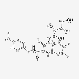 COc1ccc(CNC(=O)c2nc3cc(C)c(C)cc3n(CC(O)C(O)C(O)CO)c2=O)cc1